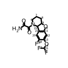 NC(=O)C(=O)N1CCCC2Oc3cc(OC(F)F)c(F)cc3C21